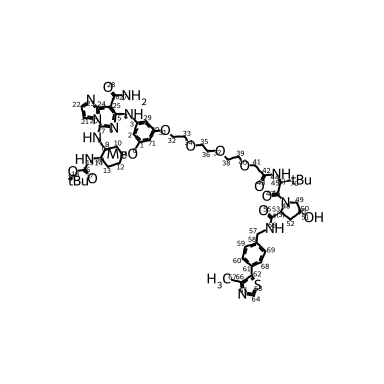 COc1cc(Nc2nc(N[C@H]3CCCC[C@H]3NC(=O)OC(C)(C)C)n3ccnc3c2C(N)=O)cc(OCCOCCOCCOCC(=O)N[C@H](C(=O)N2C[C@H](O)C[C@H]2C(=O)NCc2ccc(-c3scnc3C)cc2)C(C)(C)C)c1